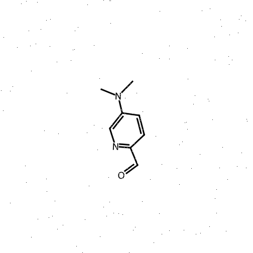 CN(C)c1ccc(C=O)nc1